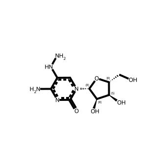 NNc1cn([C@@H]2O[C@H](CO)[C@@H](O)[C@H]2O)c(=O)nc1N